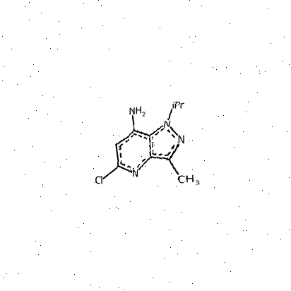 Cc1nn(C(C)C)c2c(N)cc(Cl)nc12